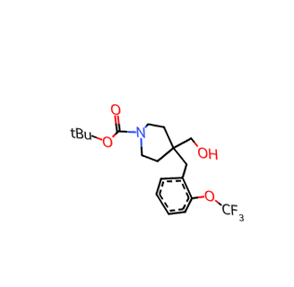 CC(C)(C)OC(=O)N1CCC(CO)(Cc2ccccc2OC(F)(F)F)CC1